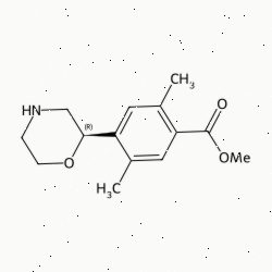 COC(=O)c1cc(C)c([C@@H]2CNCCO2)cc1C